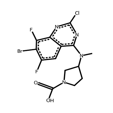 CN(c1nc(Cl)nc2c(F)c(Br)c(F)cc12)C1CCN(C(=O)O)C1